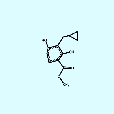 COC(=O)c1ccc(O)c(CC2CC2)c1O